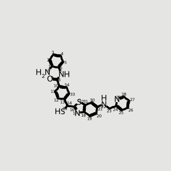 Nc1ccccc1NC(=O)c1ccc(C(S)c2nc3ccc(NCc4ccccn4)cc3s2)cc1